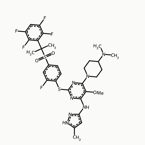 COc1c(Nc2cc(C)[nH]n2)nc(Sc2ccc(S(=O)(=O)C(C)(C)c3c(F)c(F)cc(F)c3F)cc2F)nc1N1CCC(N(C)C)CC1